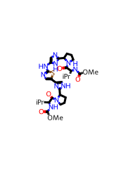 COC(=O)NC(C(=O)N1CCCC1c1nc(-c2cnc(Nc3cnc(C4CCCN4C(=O)C(NC(=O)OC)C(C)C)[nH]3)s2)c[nH]1)C(C)C